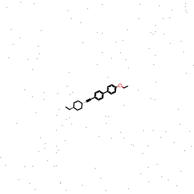 CCOc1ccc(-c2ccc(C#C[C@H]3CC[C@H](CC)CC3)cc2)cc1